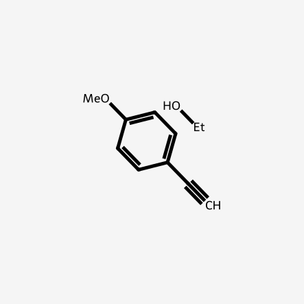 C#Cc1ccc(OC)cc1.CCO